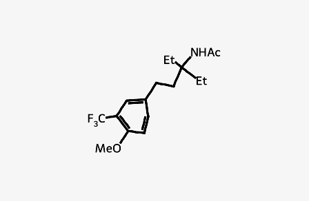 CCC(CC)(CCc1ccc(OC)c(C(F)(F)F)c1)NC(C)=O